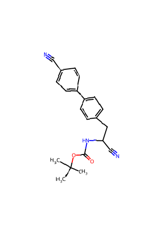 CC(C)(C)OC(=O)NC(C#N)Cc1ccc(-c2ccc(C#N)cc2)cc1